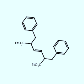 CCOC(=O)C(C=CC(Cc1ccccc1)C(=O)OCC)Cc1ccccc1